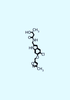 Cc1cc(COc2cc3[nH]c(CNC(=O)C[C@@H](C)O)cc3cc2Cl)on1